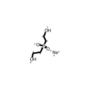 O=P([O-])(CCO)CCO.[Na+]